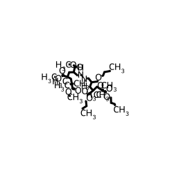 CCCCOC(=O)C(CNNCC(CC(C)(CC(C)(C)C(=O)OC)C(=O)OC)C(=O)OC)CC(C)(CC(C)(C)C(=O)OCCCC)C(=O)OCCCC